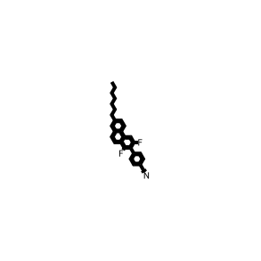 CCCCCCCc1ccc2c(ccc3c(F)c(-c4ccc(C#N)cc4)c(F)cc32)c1